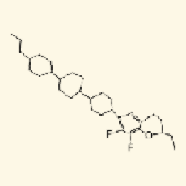 CCCC1CCC(C2CCC(C3CCC(c4cc5c(c(F)c4F)OC(CC)CC5)CC3)CC2)CC1